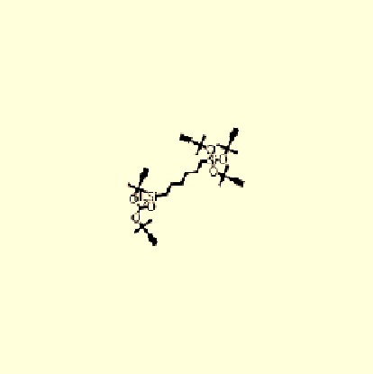 C#CC(C)(C)OC(O[SiH2]CCCCCC[Si](OC(C)(C)C#C)(OC(C)(C)C#C)OC(C)(C)C#C)OC(C)(C)C#C